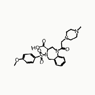 COc1ccc(S(=O)(=O)N2Cc3ccccc3N(C(=O)CN3CCN(C)CC3)CC2C(=O)O)cc1